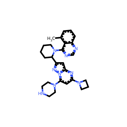 Cc1cccc2ncnc(N3CCCCC3c3cc4nc(N5CCC5)cc(N5CCNCC5)n4n3)c12